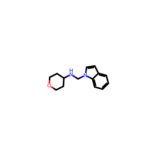 c1ccc2c(c1)ccn2CNC1CCOCC1